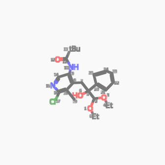 CCOC(OCC)C(O)(Cc1c(NC(=O)C(C)(C)C)cnc(Cl)c1C)c1ccccc1